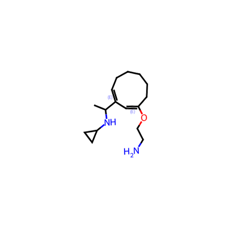 CC(NC1CC1)C1=C/CCCCC/C(OCCN)=C\1